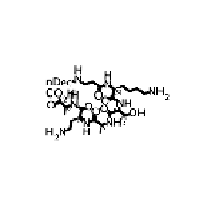 CCCCCCCCCCNCCC(=O)N[C@@H](CCCCN)C(=O)N[C@H](C(=O)N[C@@H](C)C(=O)N[C@@H](CCN)C(=O)N[C@@H](C)C(=O)C(=O)O)[C@@H](C)O